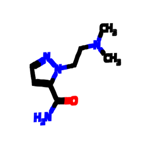 CN(C)CCn1nccc1C(N)=O